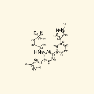 Cc1ncc(-c2cnc(-c3cccc(-c4cnn(C)c4)c3)nc2NC2CCC(F)(F)CC2)s1